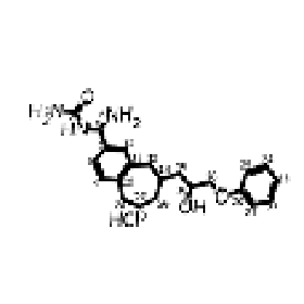 Cl.NC(=O)NC(N)c1ccc2c(c1)CC(C[C@H](O)COc1ccccc1)CCC2